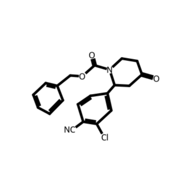 N#Cc1ccc(C2CC(=O)CCN2C(=O)OCc2ccccc2)cc1Cl